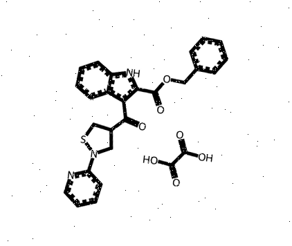 O=C(O)C(=O)O.O=C(OCc1ccccc1)c1[nH]c2ccccc2c1C(=O)C1CSN(c2ccccn2)C1